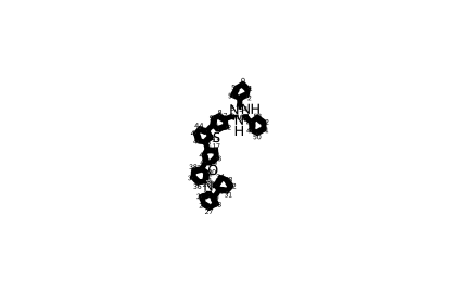 c1ccc(C2N=C(c3ccc4c(c3)sc3c(-c5ccc6oc7c(-n8c9ccccc9c9ccccc98)cccc7c6c5)cccc34)NC(c3ccccc3)N2)cc1